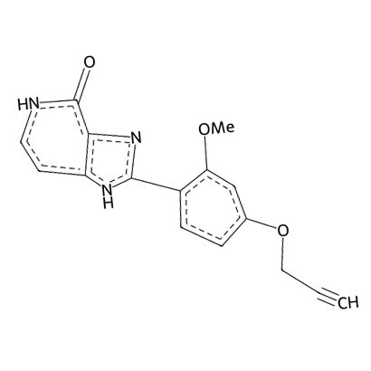 C#CCOc1ccc(-c2nc3c(=O)[nH]ccc3[nH]2)c(OC)c1